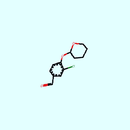 O=Cc1ccc(OC2CCCCO2)c(Cl)c1